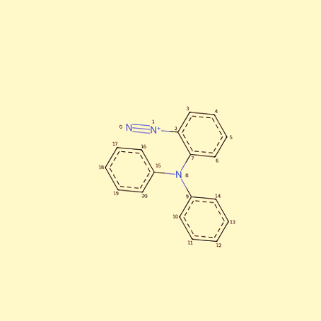 N#[N+]c1ccccc1N(c1ccccc1)c1ccccc1